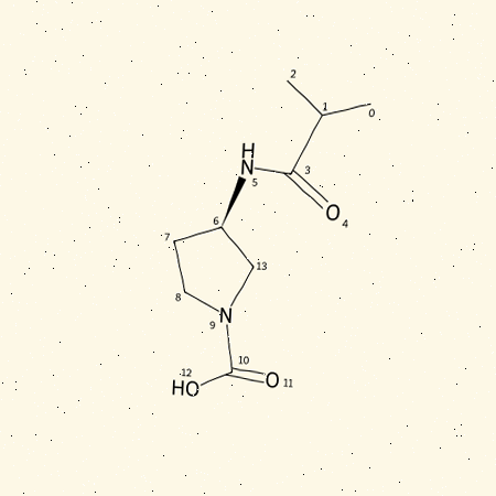 CC(C)C(=O)N[C@@H]1CCN(C(=O)O)C1